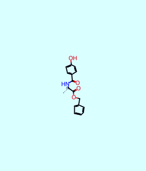 C[C@H](NC(=O)c1ccc(O)cc1)C(=O)OCc1ccccc1